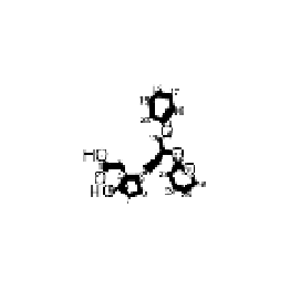 O=C(O)C[C@@H]1[C@H](O)CC[C@H]1C#CC(COc1ccccc1)OC1CCCCO1